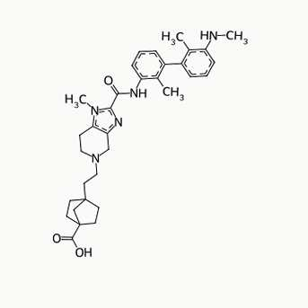 CNc1cccc(-c2cccc(NC(=O)c3nc4c(n3C)CCN(CCC35CCC(C(=O)O)(CC3)C5)C4)c2C)c1C